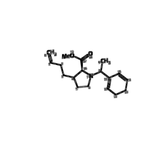 C=CCCC1CCN(C(C)C2=CCCC=C2)[C@@H]1C(=O)OC